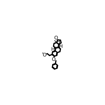 COCCc1cc2c(cc1OCc1ccccc1)CC[C@@H]1[C@@H]2CC[C@]2(C)C(=O)CC[C@@H]12